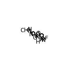 COc1ccc2c(F)nn(C)c2c1NS(=O)(=O)c1ccc(-n2cc(Cl)cn2)nc1